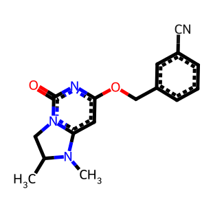 CC1Cn2c(cc(OCc3cccc(C#N)c3)nc2=O)N1C